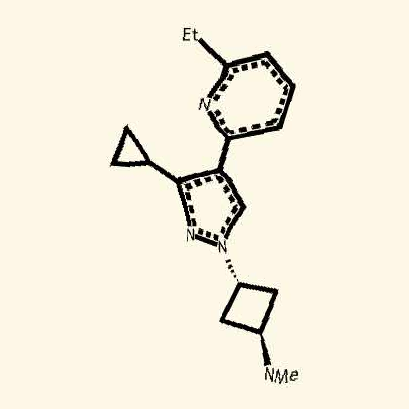 CCc1cccc(-c2cn([C@H]3C[C@H](NC)C3)nc2C2CC2)n1